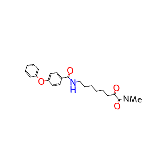 CNC(=O)C(=O)CCCCCCNC(=O)c1ccc(Oc2ccccc2)cc1